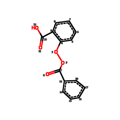 O=C(OOc1ccccc1C(=O)O)c1ccccc1